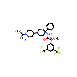 CC(C)N1CCC(C2CCC(NC(=O)[C@@H](C)c3cc(C(F)(F)F)cc(C(F)(F)F)c3)(c3ccccc3)CC2)CC1